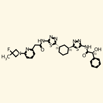 CC1(F)CN(c2cccc(CC(=O)Nc3nnc([C@H]4CCC[C@H](c5nnc(NC(=O)[C@@H](O)c6ccccc6)s5)C4)s3)n2)C1